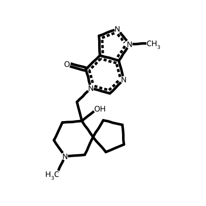 CN1CCC(O)(Cn2cnc3c(cnn3C)c2=O)C2(CCCC2)C1